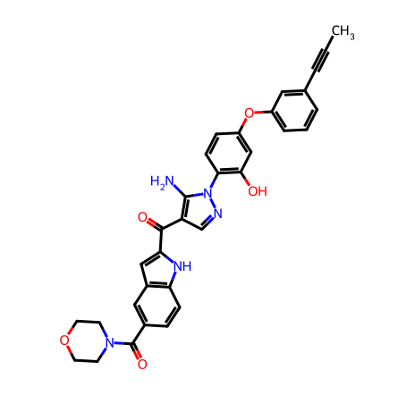 CC#Cc1cccc(Oc2ccc(-n3ncc(C(=O)c4cc5cc(C(=O)N6CCOCC6)ccc5[nH]4)c3N)c(O)c2)c1